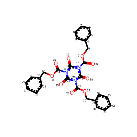 O=C(OCc1ccccc1)n1c(=O)n(C(=O)OCc2ccccc2)c(=O)n(C(=O)OCc2ccccc2)c1=O